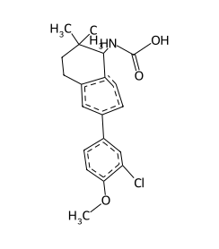 COc1ccc(-c2ccc3c(c2)CCC(C)(C)C3NC(=O)O)cc1Cl